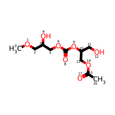 COCC(O)COC(=O)OC(CO)COC(C)=O